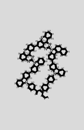 C=C(/C=C\C=C/C)c1ccc(-n2c3ccccc3c3ccc(-c4ccc5c6ccccc6n(-c6nc7c8c(cccc8n6)Sc6ccc(-c8cc9c%10c(nc(-n%11c%12ccc(-c%13ccc%14c(c%13)c%13ccccc%13n%14-c%13ccc(-c%14ccccc%14)cc%13)cc%12c%12c%13ccccc%13ccc%12%11)nc%10c8)-c8ccccc8S9)cc6-7)c5c4)cc32)cc1